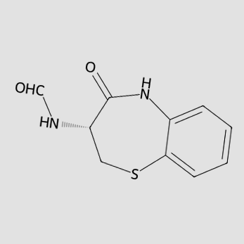 O=CN[C@H]1CSc2ccccc2NC1=O